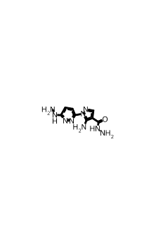 NNC(=O)c1cnn(-c2ccc(NN)nn2)c1N